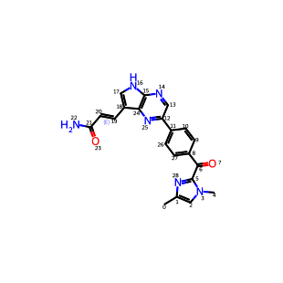 Cc1cn(C)c(C(=O)c2ccc(-c3cnc4[nH]cc(/C=C/C(N)=O)c4n3)cc2)n1